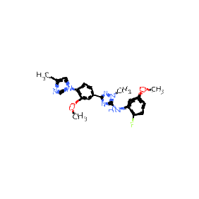 COc1ccc(F)c(Nc2nc(-c3ccc(-n4cnc(C)c4)c(OC)c3)nn2C)c1